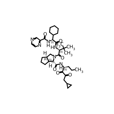 CCC[C@H](NC(=O)[C@@H]1[C@H]2CCC[C@H]2CN1C(=O)[C@@H](NC(=O)[C@@H](NC(=O)c1cnccn1)C1CCCCC1)C(C)(C)C)C(=O)C(=O)CC1CC1